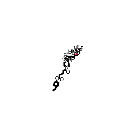 C=Cc1ccc(OC(=O)CCCC(=O)N2CCN(S(=O)(=O)C(F)(F)C(F)(F)C(F)(F)S(=O)(=O)NS(=O)(=O)C(F)(F)F)CC2)cc1